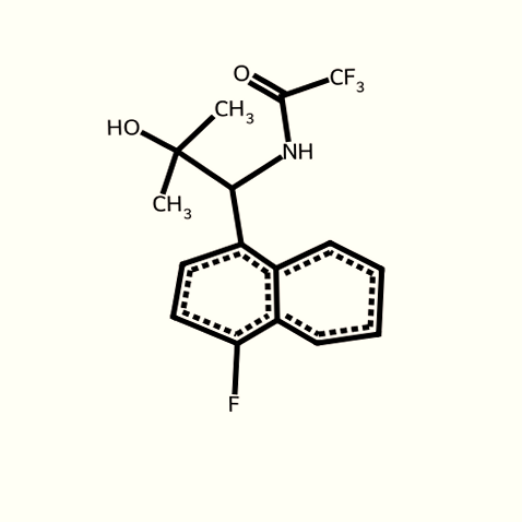 CC(C)(O)C(NC(=O)C(F)(F)F)c1ccc(F)c2ccccc12